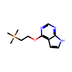 CS(C)(C)CCOc1ncnc2[nH]ccc12